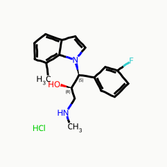 CNC[C@@H](O)[C@H](c1cccc(F)c1)n1ccc2cccc(C)c21.Cl